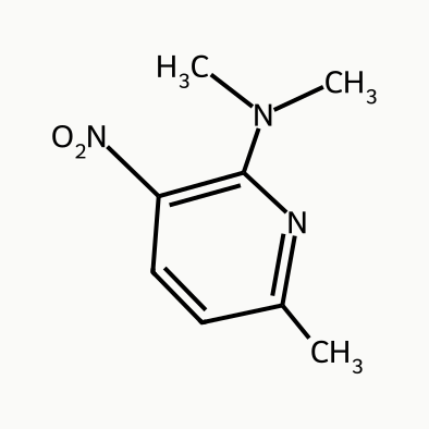 Cc1ccc([N+](=O)[O-])c(N(C)C)n1